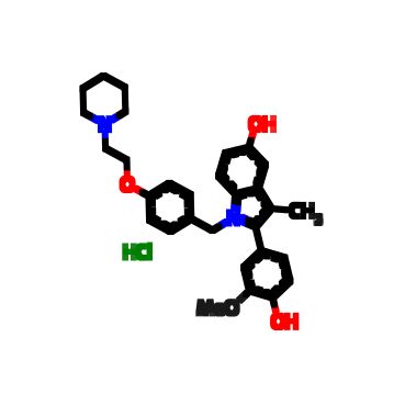 COc1cc(-c2c(C)c3cc(O)ccc3n2Cc2ccc(OCCN3CCCCC3)cc2)ccc1O.Cl